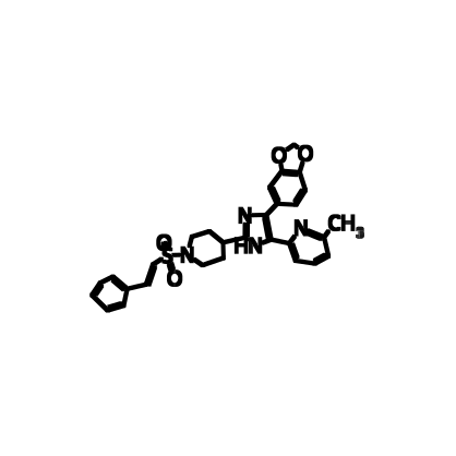 Cc1cccc(-c2[nH]c(C3CCN(S(=O)(=O)/C=C/c4ccccc4)CC3)nc2-c2ccc3c(c2)OCO3)n1